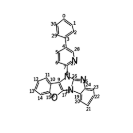 c1ccc(-c2ccc(-n3c4c5ccccc5oc4n4c5ccccc5nc34)nc2)cc1